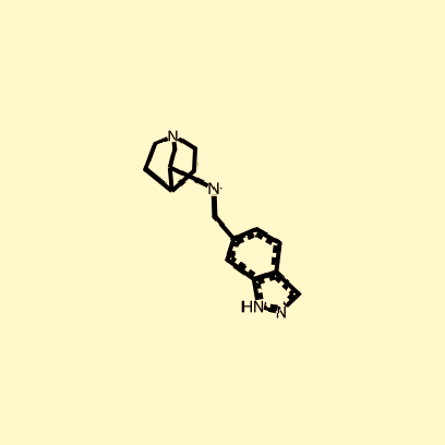 c1cc2cn[nH]c2cc1C[N]C1CN2CCC1CC2